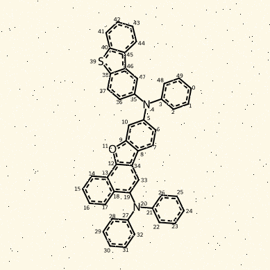 c1ccc(N(c2ccc3c(c2)oc2c4ccccc4c(N(c4ccccc4)c4ccccc4)cc32)c2ccc3sc4ccccc4c3c2)cc1